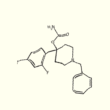 NC(=O)OC1(c2ccc(F)cc2F)CCN(Cc2ccccc2)CC1